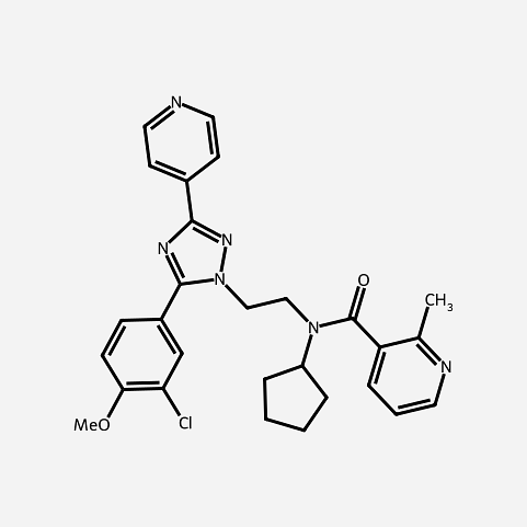 COc1ccc(-c2nc(-c3ccncc3)nn2CCN(C(=O)c2cccnc2C)C2CCCC2)cc1Cl